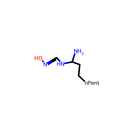 CCCCCCCC(N)N[C]=NO